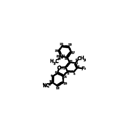 Cc1c(F)cc2c(oc3cc(C#N)ccc32)c1-c1cccc[n+]1C